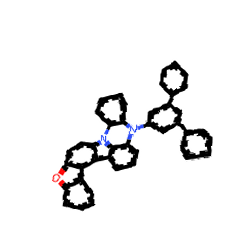 c1ccc(-c2cc(-c3ccccc3)cc(N3c4ccccc4-n4c5ccc6oc7ccccc7c6c5c5cccc3c54)c2)cc1